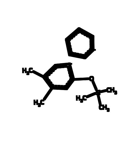 Cc1c[c]c(O[Si](C)(C)C)cc1C.[c]1ccccc1